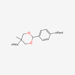 CCCCCCC1(C)COC(c2ccc(CCCCC)cc2)OC1